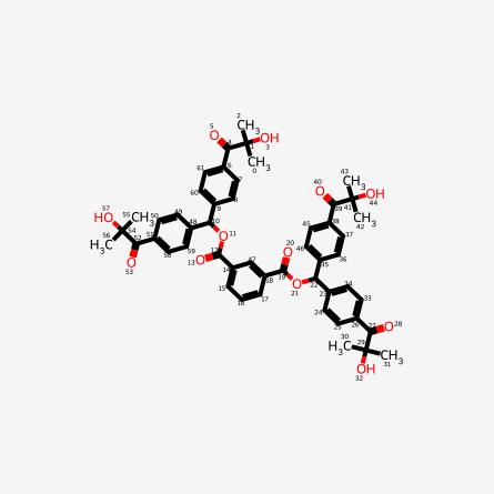 CC(C)(O)C(=O)c1ccc(C(OC(=O)c2cccc(C(=O)OC(c3ccc(C(=O)C(C)(C)O)cc3)c3ccc(C(=O)C(C)(C)O)cc3)c2)c2ccc(C(=O)C(C)(C)O)cc2)cc1